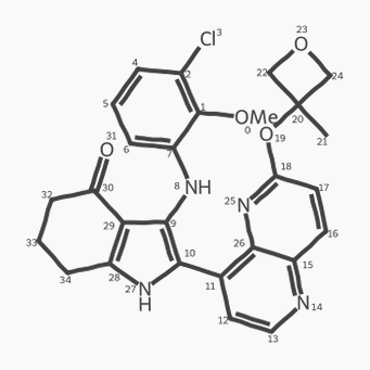 COc1c(Cl)cccc1Nc1c(-c2ccnc3ccc(OC4(C)COC4)nc23)[nH]c2c1C(=O)CCC2